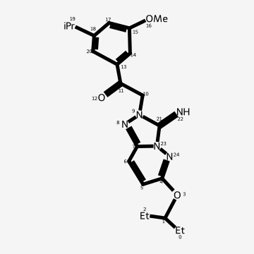 CCC(CC)Oc1ccc2nn(CC(=O)c3cc(OC)cc(C(C)C)c3)c(=N)n2n1